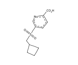 O=C(O)c1ccc(S(=O)(=O)CC2CCC2)cn1